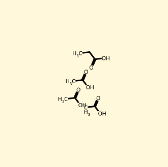 CC(=O)O.CC(=O)O.CC(=O)O.CCC(=O)O